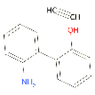 C#C.Nc1ccccc1-c1ccccc1O